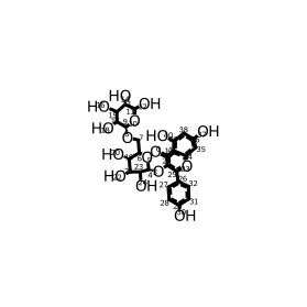 O=c1c(O[C@@H]2OC(CO[C@@H]3OC(O)[C@H](O)C(O)C3O)[C@H](O)C(O)C2O)c(-c2ccc(O)cc2)oc2cc(O)cc(O)c12